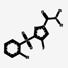 CCc1ccccc1S(=O)(=O)c1nn(C(=O)N(CC)CC)cc1F